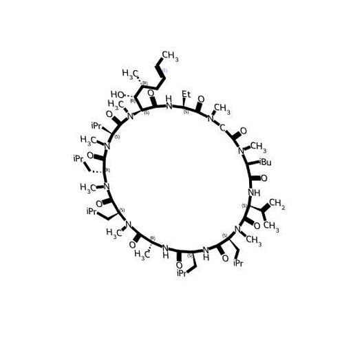 C=C(C)[C@@H]1NC(=O)C(C(C)CC)N(C)C(=O)CN(C)C(=O)[C@H](CC)NC(=O)[C@H]([C@H](O)[C@H](C)C/C=C/C)N(C)C(=O)[C@H](C(C)C)N(C)C(=O)[C@@H](CC(C)C)N(C)C(=O)[C@H](CC(C)C)N(C)C(=O)[C@@H](C)NC(=O)[C@H](CC(C)C)NC(=O)[C@H](CC(C)C)N(C)C1=O